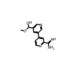 COC(O)c1cncc(-c2ccnc(C(=N)N)c2)c1